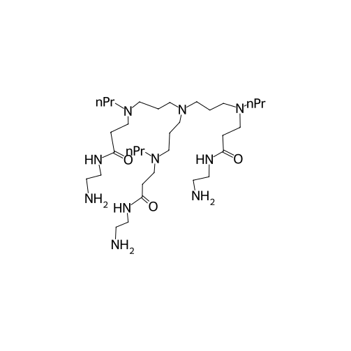 CCCN(CCCN(CCCN(CCC)CCC(=O)NCCN)CCCN(CCC)CCC(=O)NCCN)CCC(=O)NCCN